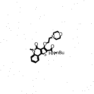 CCCCNC(=O)c1sc2c(c1OCCN1CCOCC1)c(=O)n(C)c1ccccc21